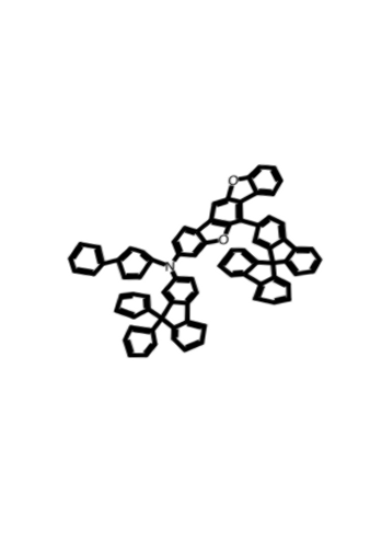 c1ccc(-c2ccc(N(c3ccc4c(c3)C(c3ccccc3)(c3ccccc3)c3ccccc3-4)c3ccc4c(c3)oc3c(-c5ccc6c(c5)C5(c7ccccc7-c7ccccc75)c5ccccc5-6)c5c(cc34)oc3ccccc35)cc2)cc1